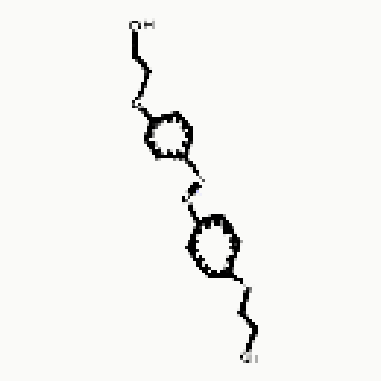 OCCOc1ccc(/N=N/c2ccc(OCCO)cc2)cc1